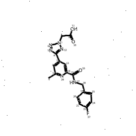 Cc1cc(-c2nnn(CC(=O)O)n2)cc(C(=O)NCc2ccc(F)cc2)n1